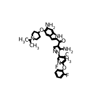 Cc1cc(Oc2c(F)cccc2F)ncc1-n1ncc(C(=O)c2cc3cc(OC4CCN(C(C)C)CC4)c(N)cc3[nH]2)c1N